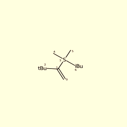 C=C(C(C)(C)C)S(C)(C)C(C)CC